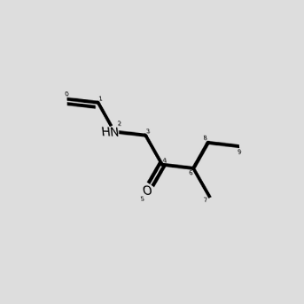 C=CNCC(=O)C(C)CC